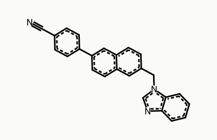 N#Cc1ccc(-c2ccc3cc(Cn4cnc5ccccc54)ccc3c2)cc1